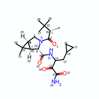 C[C@H](C(=O)N1C[C@H]2[C@@H]([C@H]1C(=O)NC(CC1CC1)C(=O)C(N)=O)C2(C)C)C(C)(C)C